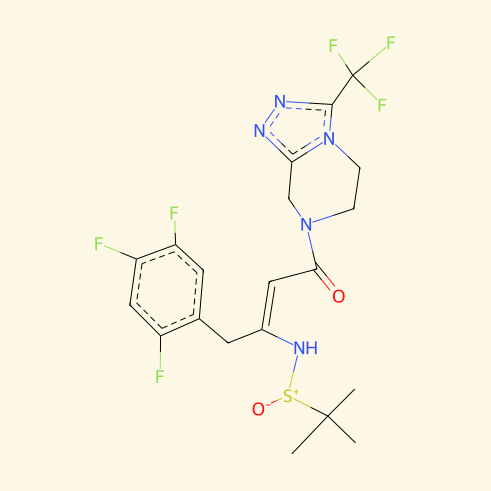 CC(C)(C)[S+]([O-])N/C(=C\C(=O)N1CCn2c(nnc2C(F)(F)F)C1)Cc1cc(F)c(F)cc1F